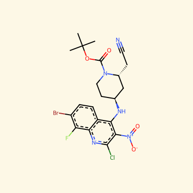 CC(C)(C)OC(=O)N1CC[C@H](Nc2c([N+](=O)[O-])c(Cl)nc3c(F)c(Br)ccc23)C[C@H]1CC#N